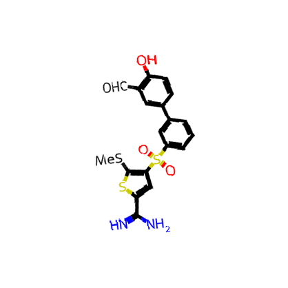 CSc1sc(C(=N)N)cc1S(=O)(=O)c1cccc(-c2ccc(O)c(C=O)c2)c1